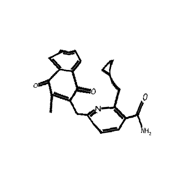 CC1=C(Cc2ccc(C(N)=O)c(CC3CC3)n2)C(=O)c2ccccc2C1=O